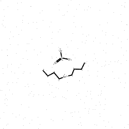 CCC[CH2][Sn+2][CH2]CCC.O=S([O-])[O-]